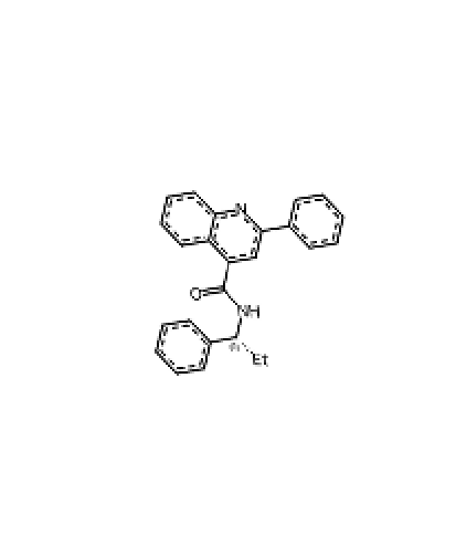 CC[C@@H](NC(=O)c1cc(-c2ccccc2)nc2ccccc12)c1ccccc1